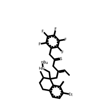 C/C=C(/CC(=S)Cc1c(F)c(F)c(F)c(F)c1F)CC1(CNCCCC)c2c(ccc(CC)c2C)CCC1C